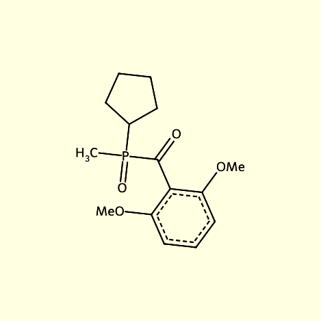 COc1cccc(OC)c1C(=O)P(C)(=O)C1CCCC1